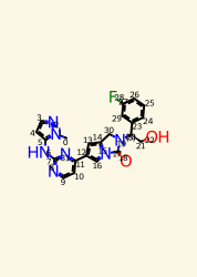 Cn1nccc1Nc1nccc(-c2cc3n(c2)C(=O)N([C@H](CO)c2cccc(F)c2)C3)n1